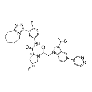 CC(=O)c1cn(CC(=O)N2C[C@H](F)C[C@H]2C(=O)Nc2ccc(F)c(-c3nnc4n3CCCCC4)c2)c2ccc(-c3ccnnc3)cc12